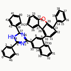 c1ccc(C2=NC(c3cc(-c4ccc(-c5ccccc5)c5oc6ccccc6c45)c4ccccc4c3)=NC(c3ccccc3)N2)cc1